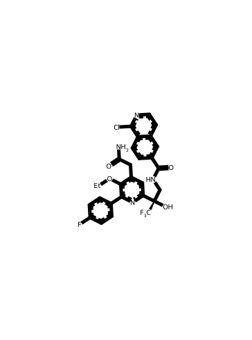 CCOc1c(CC(N)=O)cc([C@@](O)(CNC(=O)c2ccc3c(Cl)nccc3c2)C(F)(F)F)nc1-c1ccc(F)cc1